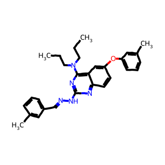 CCCN(CCC)c1nc(N/N=C/c2cccc(C)c2)nc2ccc(Oc3cccc(C)c3)cc12